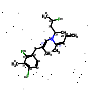 C=C/C=C(/C)N(/C=C(\C)Cc1ccc(F)c(C)c1F)C(C)CC(C)F